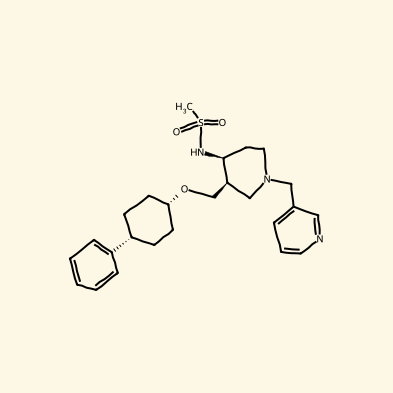 CS(=O)(=O)N[C@H]1CCN(Cc2cccnc2)C[C@H]1CO[C@H]1CC[C@@H](c2ccccc2)CC1